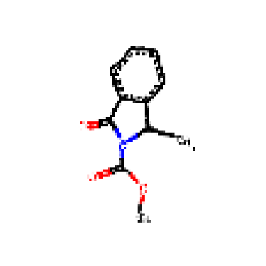 CC1c2ccccc2C(=O)N1C(=O)OC(C)(C)C